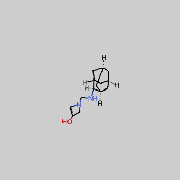 OC1CN(CN[C@H]2[C@H]3C[C@H]4C[C@H](C3)C[C@H]2C4)C1